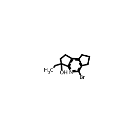 CCC1(O)CCc2c1nc(Br)c1c2CCC1